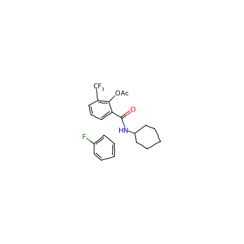 CC(=O)Oc1c(C(=O)NC2CCCCC2)cccc1C(F)(F)F.Fc1ccccc1